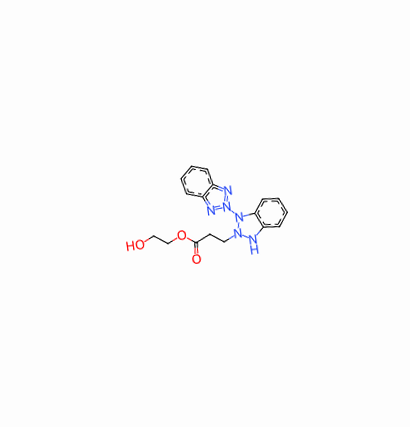 O=C(CCN1Nc2ccccc2N1n1nc2ccccc2n1)OCCO